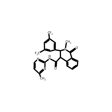 Cc1ccnc(NC(=O)C2c3ccccc3C(=O)N(C)C2c2cc(C(F)(F)F)cc(C(F)(F)F)c2)n1